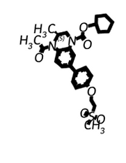 CC(=O)N1c2ccc(-c3ccc(OCCS(C)(=O)=O)cc3)cc2N(C(=O)OC2CCCCC2)C[C@@H]1C